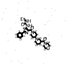 CCNC(=O)Nc1sc(-c2ccccc2)nc1C(=O)N1CCC(N2CCCC(C(=O)N3CCOCC3)C2)CC1